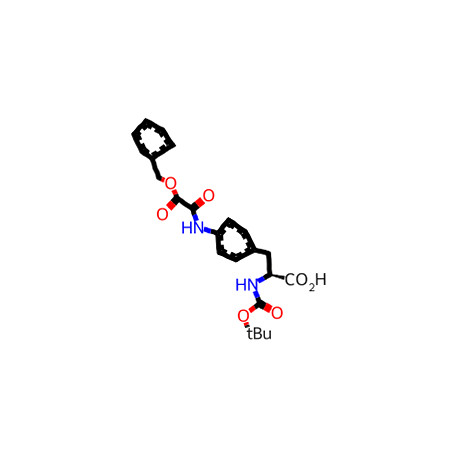 CC(C)(C)OC(=O)N[C@@H](Cc1ccc(NC(=O)C(=O)OCc2ccccc2)cc1)C(=O)O